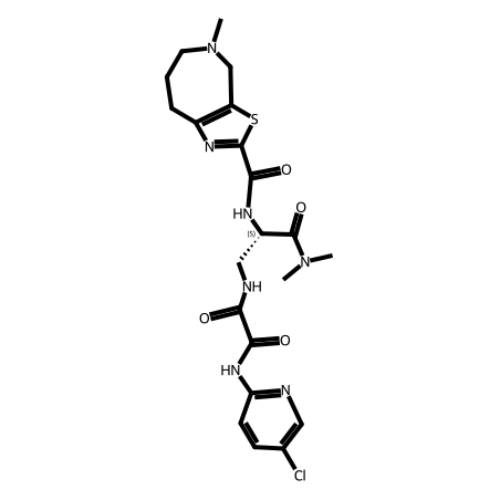 CN1CCCc2nc(C(=O)N[C@@H](CNC(=O)C(=O)Nc3ccc(Cl)cn3)C(=O)N(C)C)sc2C1